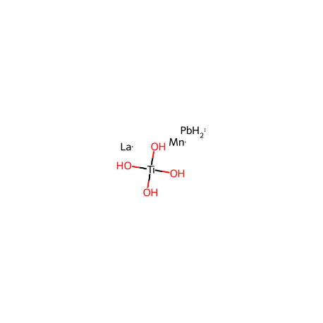 [La].[Mn].[OH][Ti]([OH])([OH])[OH].[PbH2]